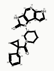 O=C(N1CCC[C@@H](n2c(=O)[nH]c3cnc4[nH]ccc4c32)C1)C1(c2ccccc2)CC1